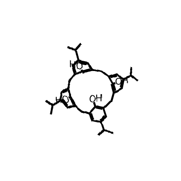 CC(C)c1cc2c(O)c(c1)Cc1cc(C(C)C)cc(c1O)Cc1cc(C(C)C)cc(c1O)Cc1cc(C(C)C)cc(c1O)C2